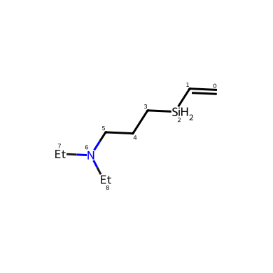 C=C[SiH2]CCCN(CC)CC